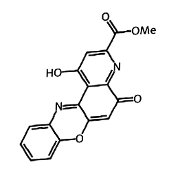 COC(=O)c1cc(O)c2c3nc4ccccc4oc-3cc(=O)c2n1